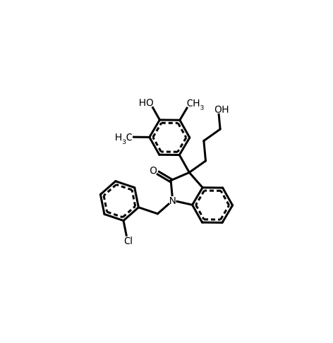 Cc1cc(C2(CCCO)C(=O)N(Cc3ccccc3Cl)c3ccccc32)cc(C)c1O